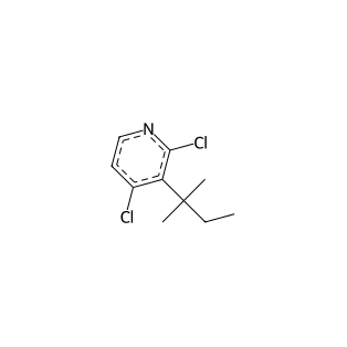 CCC(C)(C)c1c(Cl)ccnc1Cl